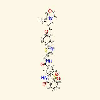 C[C@@H]1COCCN1CCCOc1ccc(-c2ncc(CNC(=O)c3ccc4c(c3)NC(=O)c3ccccc3S4(=O)=O)s2)cc1